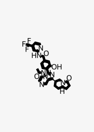 CC(=O)N[N+]12C=CN=CC1=C([C@@H]1CC[C@H]3CCC(=O)N3C1)N=C2c1ccc(C(=O)Nc2cc(C(F)(F)F)ccn2)cc1O